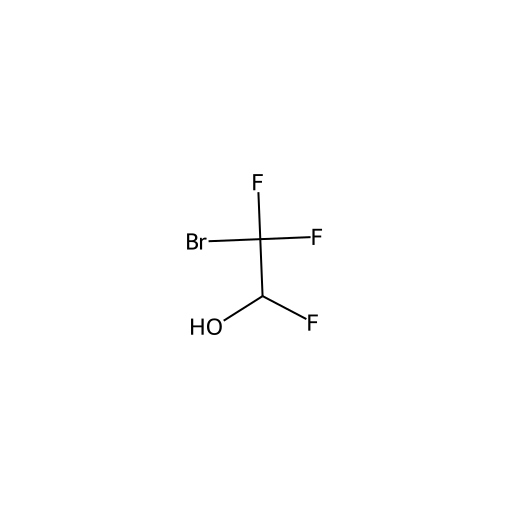 OC(F)C(F)(F)Br